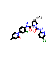 CO[C@@H]1C[C@H](C(=O)Nc2ccc(-n3ccc(C)cc3=O)cc2F)N(C(=O)Nc2ccc(Cl)cn2)C1